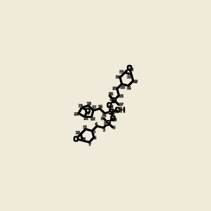 C[Si](C)(CCC1CCC2OC2C1)O[Si](O)(CCC1CC2CC(C1)O2)O[Si](C)(C)CCC1CCC2OC2C1